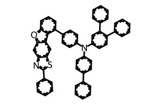 c1ccc(-c2ccc(N(c3ccc(-c4cccc5oc6cc7nc(-c8ccccc8)sc7cc6c45)cc3)c3ccc(-c4ccccc4)c(-c4ccccc4)c3)cc2)cc1